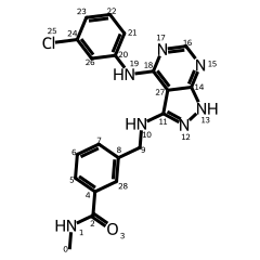 CNC(=O)c1cccc(CNc2n[nH]c3ncnc(Nc4cccc(Cl)c4)c23)c1